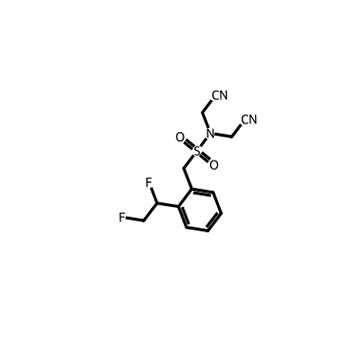 N#CCN(CC#N)S(=O)(=O)Cc1ccccc1C(F)CF